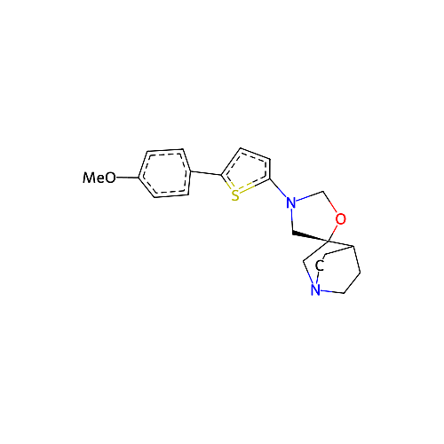 COc1ccc(-c2ccc(N3CO[C@]4(CN5CCC4CC5)C3)s2)cc1